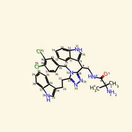 CC(C)(N)C(=O)NCC(c1c[nH]c2ccccc12)c1nnc(CCc2c[nH]c3ccccc23)n1Cc1ccc(Cl)c(Cl)c1